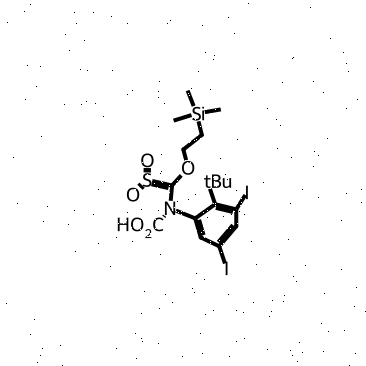 CC(C)(C)c1c(I)cc(I)cc1N(C(=O)O)C(OCC[Si](C)(C)C)=S(=O)=O